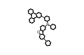 c1ccc(-c2ccc3oc4ccc(N(c5ccccc5)c5cccc(-c6ccc7c8ccccc8c8ccccc8c7c6)c5)cc4c3c2)cc1